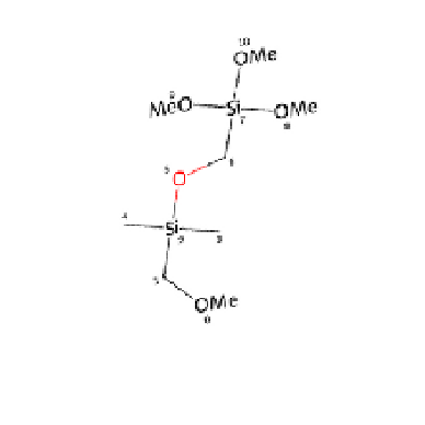 COC[Si](C)(C)OC[Si](OC)(OC)OC